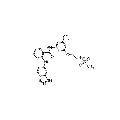 CS(=O)(=O)NCCOc1cc(NC(=O)c2cccnc2Nc2ccc3cn[nH]c3c2)cc(C(F)(F)F)c1